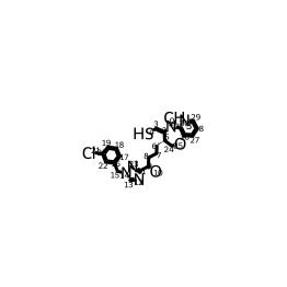 CN1/C(=C/S)[C@@H](CCCC(=O)c2ncn(Cc3cccc(Cl)c3)n2)COc2cccnc21